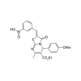 CCOC(=O)C1=C(C)N=c2s/c(=C\c3cccc([N+](=O)O)c3)c(=O)n2C1c1ccc(OC)cc1